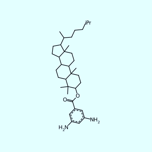 CC(C)CCCC(C)C1CCC2C3CCC4C(C)(C)C(OC(=O)c5cc(N)cc(N)c5)CCC4(C)C3CCC12C